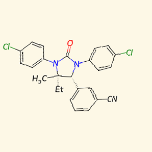 CC[C@@]1(C)[C@@H](c2cccc(C#N)c2)N(c2ccc(Cl)cc2)C(=O)N1c1ccc(Cl)cc1